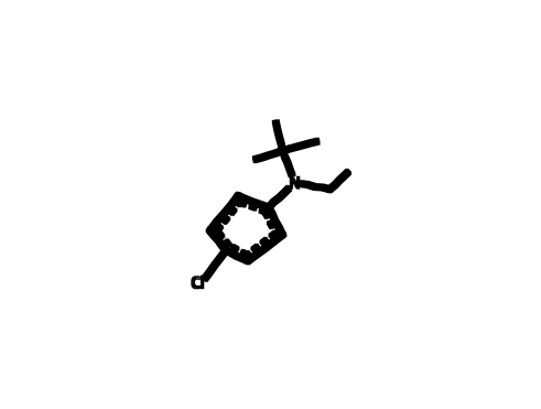 CCN(c1ccc(Cl)cc1)C(C)(C)C